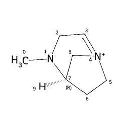 CN1CC=[N+]2CC[C@@H]1C2